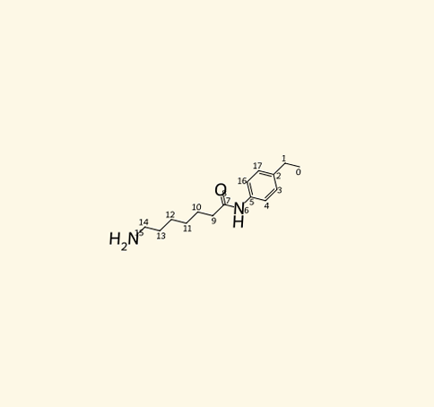 CCc1ccc(NC(=O)CCCCCCN)cc1